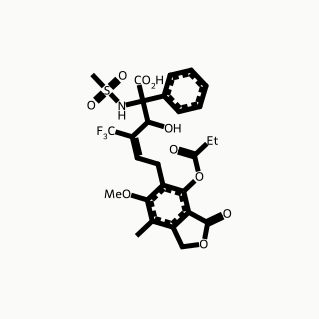 CCC(=O)Oc1c(CC=C(C(O)C(NS(C)(=O)=O)(C(=O)O)c2ccccc2)C(F)(F)F)c(OC)c(C)c2c1C(=O)OC2